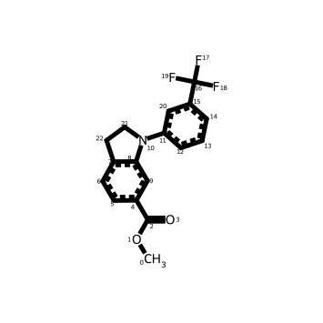 COC(=O)c1ccc2c(c1)N(c1cccc(C(F)(F)F)c1)CC2